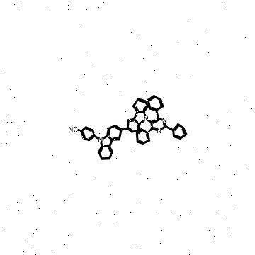 N#Cc1ccc(-n2c3ccccc3c3cc(-c4ccc5c(c4)c4ccccc4n5-c4c(-c5ccccc5)nc(-c5ccccc5)nc4-c4ccccc4)ccc32)cc1